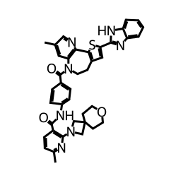 Cc1cnc2c(c1)N(C(=O)c1ccc(NC(=O)c3ccc(C)nc3N3CC4(CCOCC4)C3)cc1)CCc1cc(-c3nc4ccccc4[nH]3)sc1-2